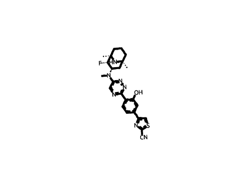 CN(c1cnc(-c2ccc(-c3csc(C#N)n3)cc2O)nn1)[C@H]1C[C@]2(C)CCC[C@@](C)(N2)[C@H]1F